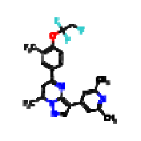 Cc1cc(-c2cnn3c(C(F)(F)F)cc(-c4ccc(OC(F)(F)CF)c(C(F)(F)F)c4)nc23)cc(C)n1